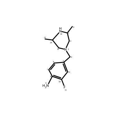 CC1CN(Cc2ccc(N)c(F)c2)CC(C)N1